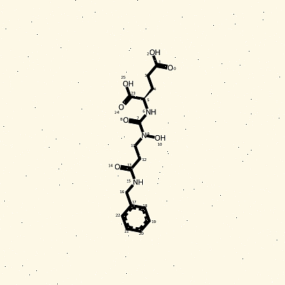 O=C(O)CC[C@@H](NC(=O)N(O)CCC(=O)NCc1ccccc1)C(=O)O